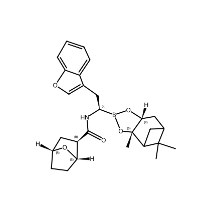 CC1(C)C2CC1[C@]1(C)OB([C@H](Cc3coc4ccccc34)NC(=O)[C@@H]3C[C@H]4CC[C@@H]3O4)O[C@@H]1C2